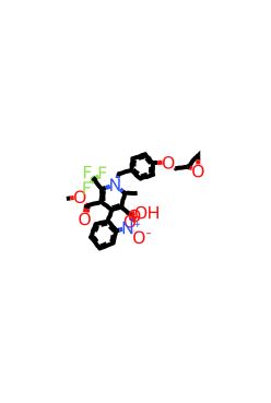 COC(=O)C1=C(C(F)(F)F)N(Cc2ccc(OCC3CO3)cc2)C(C)C(C(=O)O)=C1c1ccccc1[N+](=O)[O-]